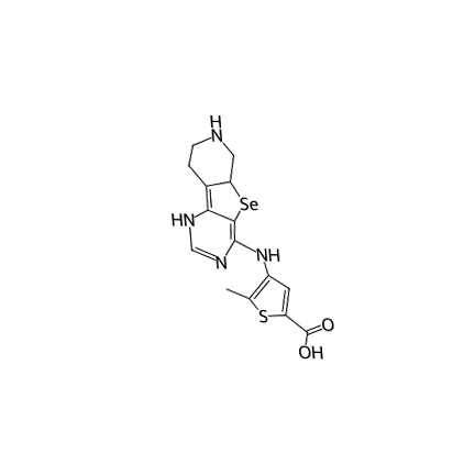 Cc1sc(C(=O)O)cc1NC1=C2[Se]C3CNCCC3=C2NC=N1